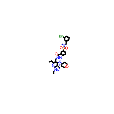 CCc1nc2c(cnn2CC)c(NC2CCOCC2)c1CNC(=O)c1cccc(S(=O)(=O)N(C)Cc2cccc(Br)c2)c1